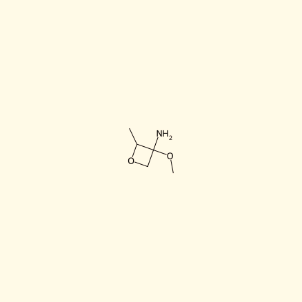 COC1(N)COC1C